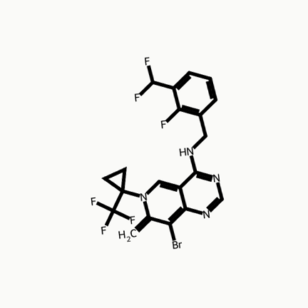 C=C1C(Br)=c2ncnc(NCc3cccc(C(F)F)c3F)c2=CN1C1(C(F)(F)F)CC1